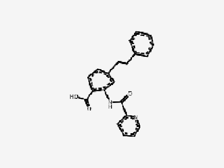 O=C(Nc1cc(CCc2ccccc2)ccc1C(=O)O)c1ccccn1